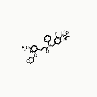 CS(=O)(=O)Nc1ccc(CN(C(=O)C=Cc2ccc(C(F)(F)F)nc2OC2CCOC2)c2ccccc2)cc1F